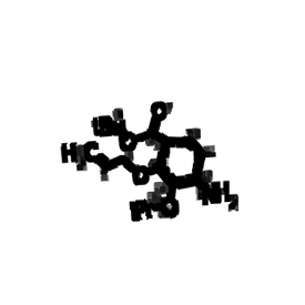 C=CCOc1c(C(=O)OC(C)(C)C)ccc(N)c1OC(C)C